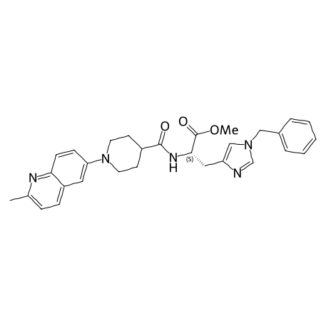 COC(=O)[C@H](Cc1cn(Cc2ccccc2)cn1)NC(=O)C1CCN(c2ccc3nc(C)ccc3c2)CC1